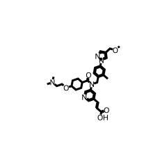 COCc1cnn(-c2ccc(CN(C(=O)C3CCC(OCCN(C)C)CC3)c3cncc(C=CC(=O)O)c3)c(C)c2)c1